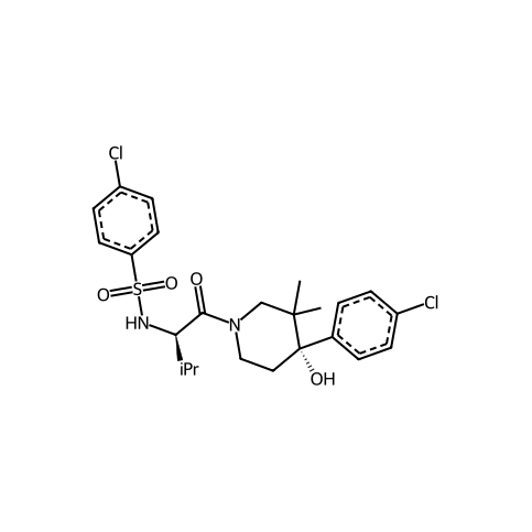 CC(C)[C@@H](NS(=O)(=O)c1ccc(Cl)cc1)C(=O)N1CC[C@](O)(c2ccc(Cl)cc2)C(C)(C)C1